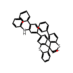 c1ccc(Nc2cc(-c3ccc4c(c3)Sc3ccccc3C43c4ccccc4Sc4ccc(-c5ccccc5)cc43)ccc2-c2ccccc2)cc1